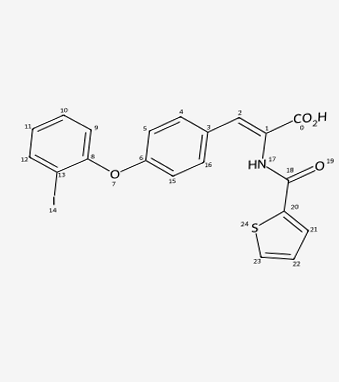 O=C(O)C(=Cc1ccc(Oc2ccccc2I)cc1)NC(=O)c1cccs1